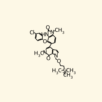 Cn1cc(-c2ccc3c([nH]c(=O)n3C)c2Oc2ccc(Cl)cc2)c2ccn(COCC[Si](C)(C)C)c2c1=O